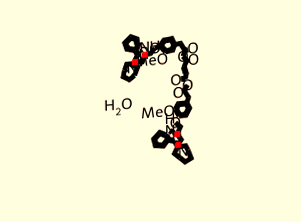 COc1cc(CC(=O)OC(=O)/C=C/C(=O)OC(=O)Cc2ccc(OCCCCN3C4CCC3CC(c3n[nH]c5ccccc35)C4)c(OC)c2)ccc1OCCCCN1C2CCC1CC(c1n[nH]c3ccccc13)C2.O